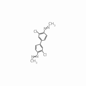 CN=Nc1ccc(-c2ccc(N=NC)c(Cl)c2)cc1Cl